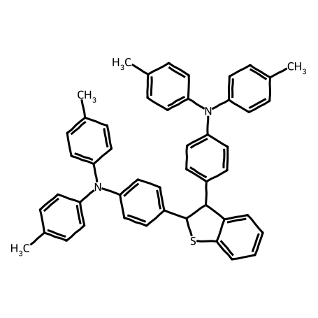 Cc1ccc(N(c2ccc(C)cc2)c2ccc(C3Sc4ccccc4C3c3ccc(N(c4ccc(C)cc4)c4ccc(C)cc4)cc3)cc2)cc1